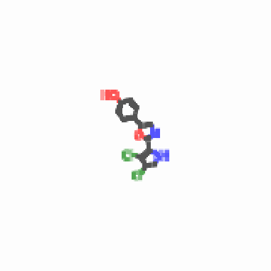 Oc1ccc(-c2cnc(-c3[nH]cc(Cl)c3Cl)o2)cc1